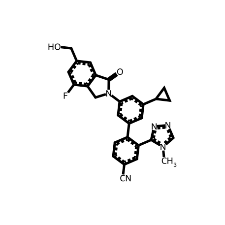 Cn1cnnc1-c1cc(C#N)ccc1-c1cc(C2CC2)cc(N2Cc3c(F)cc(CO)cc3C2=O)c1